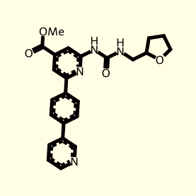 COC(=O)c1cc(NC(=O)NCC2CCCO2)nc(-c2ccc(-c3cccnc3)cc2)c1